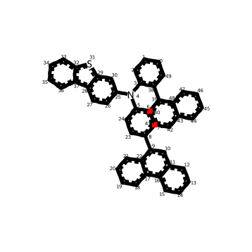 c1ccc(N(c2ccc(-c3cc4ccccc4c4ccccc34)cc2)c2ccc3c(c2)sc2ccccc23)c(-c2cccc3ccccc23)c1